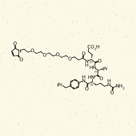 CC(C)Cc1ccc(NC(=O)[C@H](CCCNC(N)=O)NC(=O)[C@@H](NC(=O)[C@H](CCC(=O)O)NC(=O)CCOCCOCCOCCOCCN2C(=O)C=CC2=O)C(C)C)cc1